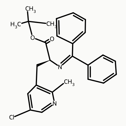 Cc1ncc(Cl)cc1C[C@H](N=C(c1ccccc1)c1ccccc1)C(=O)OC(C)(C)C